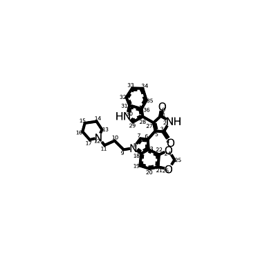 O=C1NC(=O)C(c2cn(CCCN3CCCCC3)c3ccc4c(c23)OCO4)=C1c1c[nH]c2ccccc12